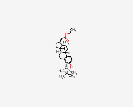 CCOC(=O)/C=C1/CC[C@H]2[C@@H]3CCc4cc(O[Si](C)(C)C(C)(C)C)ccc4[C@H]3CC[C@]12C